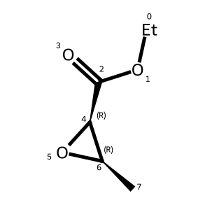 CCOC(=O)[C@@H]1O[C@@H]1C